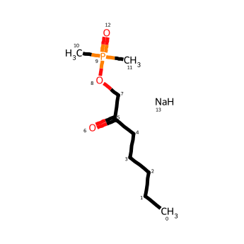 CCCCCC(=O)COP(C)(C)=O.[NaH]